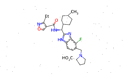 CCc1nocc1C(=O)N[C@H](c1nc2c(F)c(CN3CCC[C@@H]3C(=O)O)ccc2[nH]1)C1CCC(C)CC1